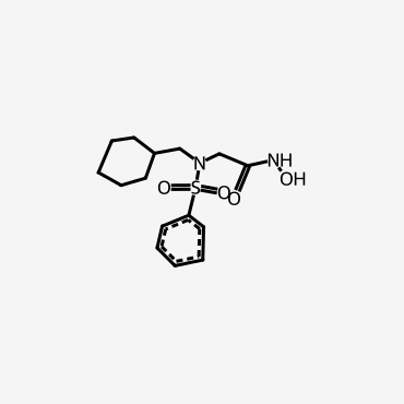 O=C(CN(CC1CCCCC1)S(=O)(=O)c1ccccc1)NO